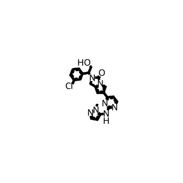 Cn1nccc1Nc1nccc(-c2cc3n(c2)C(=O)N(C(CO)c2cccc(Cl)c2)C3)n1